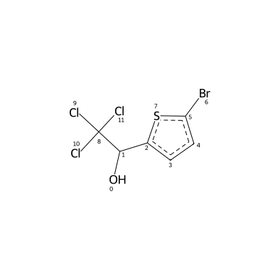 OC(c1ccc(Br)s1)C(Cl)(Cl)Cl